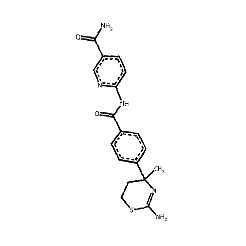 CC1(c2ccc(C(=O)Nc3ccc(C(N)=O)cn3)cc2)CCSC(N)=N1